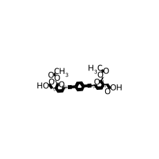 CC(=O)OC[C@@H]1O[C@H](C#Cc2ccc(C#C[C@@H]3C=C[C@H](CC(=O)O)[C@H](COC(C)=O)O3)cc2)C=C[C@@H]1CC(=O)O